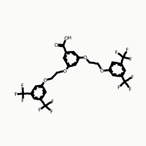 O=C(O)c1cc(OCCOc2cc(C(F)(F)F)cc(C(F)(F)F)c2)cc(OCCOc2cc(C(F)(F)F)cc(C(F)(F)F)c2)c1